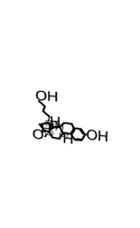 C[C@]12CC[C@@H]3c4ccc(O)cc4CC[C@H]3[C@@H]1[C@H](CCCCO)CC2=O